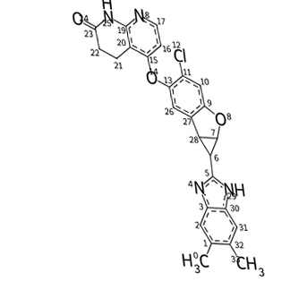 Cc1cc2nc(C3C4Oc5cc(Cl)c(Oc6ccnc7c6CCC(=O)N7)cc5C43)[nH]c2cc1C